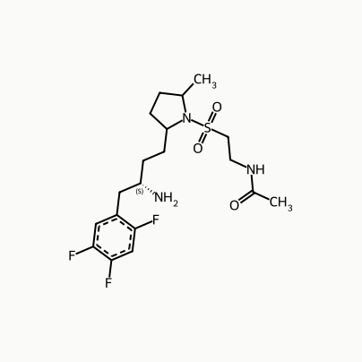 CC(=O)NCCS(=O)(=O)N1C(C)CCC1CC[C@H](N)Cc1cc(F)c(F)cc1F